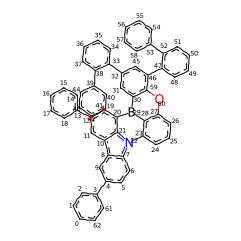 c1ccc(-c2ccc3c(c2)c2cc(-c4ccccc4)cc4c2n3-c2cccc3c2B4c2cc(-c4ccccc4-c4ccccc4)cc(-c4ccccc4-c4ccccc4)c2O3)cc1